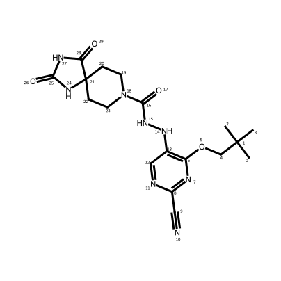 CC(C)(C)COc1nc(C#N)ncc1NNC(=O)N1CCC2(CC1)NC(=O)NC2=O